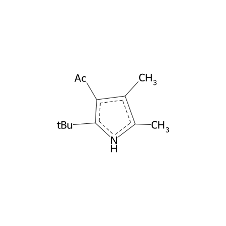 CC(=O)c1c(C(C)(C)C)[nH]c(C)c1C